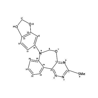 CSc1nnc2c(n1)OCN(c1ccc3c(c1)OCO3)c1ccccc1-2